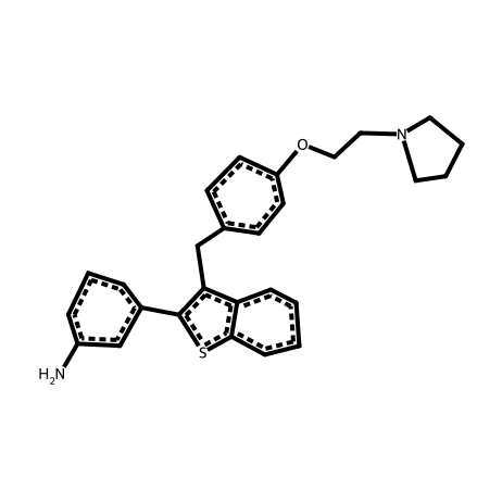 Nc1cccc(-c2sc3ccccc3c2Cc2ccc(OCCN3CCCC3)cc2)c1